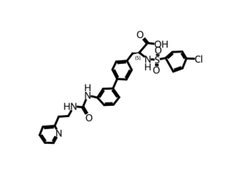 O=C(NCCc1ccccn1)Nc1cccc(-c2ccc(C[C@H](NS(=O)(=O)c3ccc(Cl)cc3)C(=O)O)cc2)c1